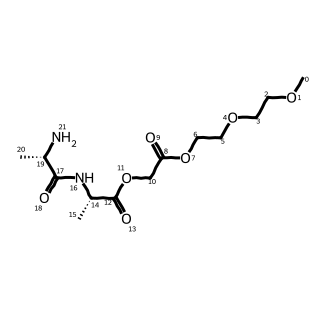 COCCOCCOC(=O)COC(=O)[C@H](C)NC(=O)[C@H](C)N